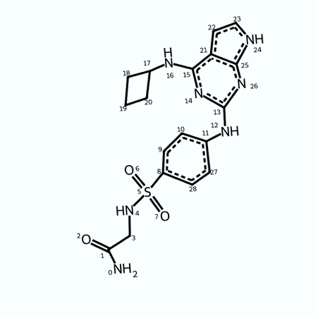 NC(=O)CNS(=O)(=O)c1ccc(Nc2nc(NC3CCC3)c3cc[nH]c3n2)cc1